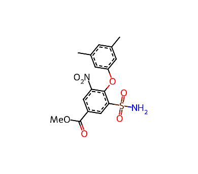 COC(=O)c1cc([N+](=O)[O-])c(Oc2cc(C)cc(C)c2)c(S(N)(=O)=O)c1